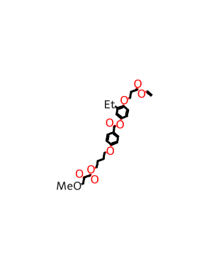 C=COC(=O)CCOc1ccc(OC(=O)c2ccc(OCCCCOC(=O)C(=O)COC)cc2)cc1CC